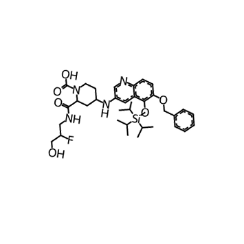 CC(C)[Si](Oc1c(OCc2ccccc2)ccc2ncc(NC3CCN(C(=O)O)C(C(=O)NCC(F)CO)C3)cc12)(C(C)C)C(C)C